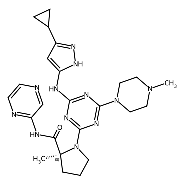 CN1CCN(c2nc(Nc3cc(C4CC4)n[nH]3)nc(N3CCC[C@@]3(C)C(=O)Nc3cnccn3)n2)CC1